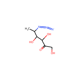 CC(N=[N+]=[N-])C(O)C(O)C(=O)CO